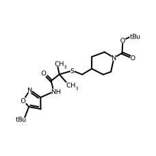 CC(C)(C)OC(=O)N1CCC(CSC(C)(C)C(=O)Nc2cc(C(C)(C)C)on2)CC1